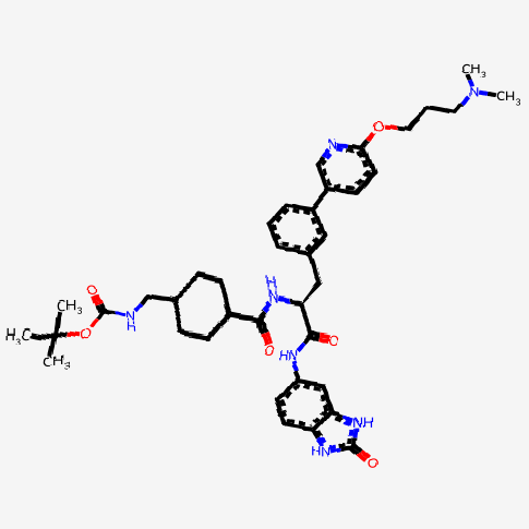 CN(C)CCCOc1ccc(-c2cccc(C[C@H](NC(=O)C3CCC(CNC(=O)OC(C)(C)C)CC3)C(=O)Nc3ccc4[nH]c(=O)[nH]c4c3)c2)cn1